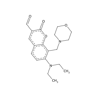 CCN(CC)c1ccc2cc(C=O)c(=O)oc2c1CN1CCOCC1